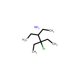 CCC(CC)C(Br)(CC)CC.N